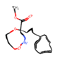 COC(=O)[C@]1(Cc2ccccc2)NOCCO1